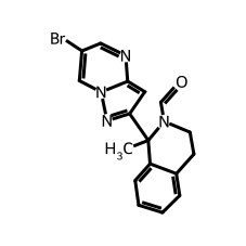 CC1(c2cc3ncc(Br)cn3n2)c2ccccc2CCN1C=O